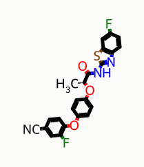 C[C@@H](Oc1ccc(Oc2ccc(C#N)cc2F)cc1)C(=O)Nc1nc2ccc(F)cc2s1